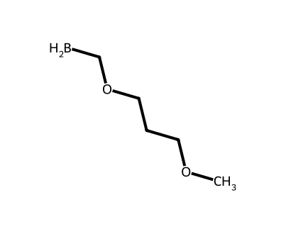 BCOCCCOC